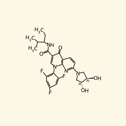 CCC(NC(=O)c1cn(-c2c(F)cc(F)cc2F)c2nc(N3C[C@@H](O)[C@H](O)C3)ccc2c1=O)C(C)C